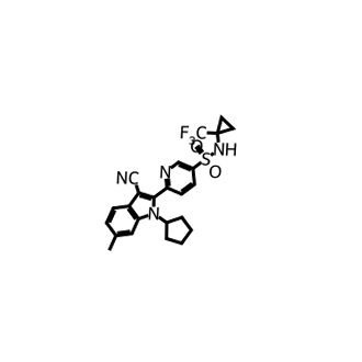 Cc1ccc2c(C#N)c(-c3ccc(S(=O)(=O)NC4(C(F)(F)F)CC4)cn3)n(C3CCCC3)c2c1